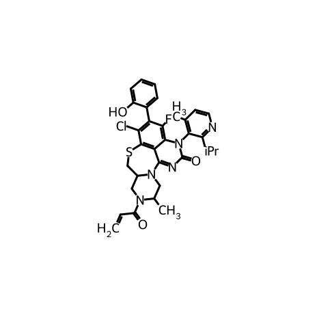 C=CC(=O)N1CC2CSc3c(Cl)c(-c4ccccc4O)c(F)c4c3c(nc(=O)n4-c3c(C)ccnc3C(C)C)N2CC1C